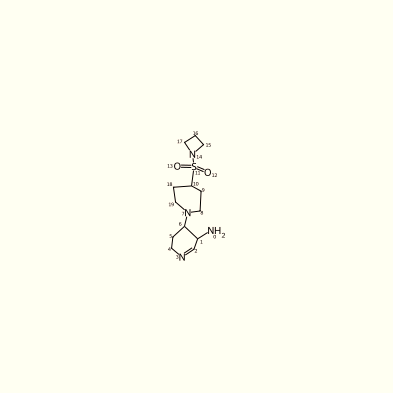 NC1C=NCCC1N1CCC(S(=O)(=O)N2CCC2)CC1